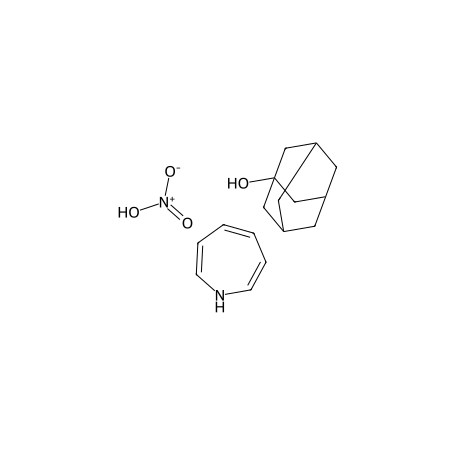 C1=CC=CNC=C1.O=[N+]([O-])O.OC12CC3CC(CC(C3)C1)C2